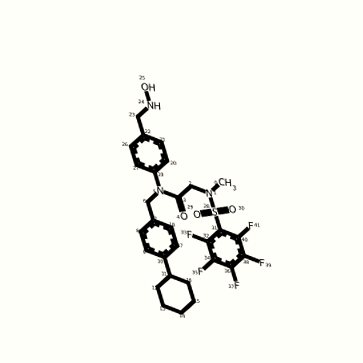 CN(CC(=O)N(Cc1ccc(C2CCCCC2)cc1)c1ccc(CNO)cc1)S(=O)(=O)c1c(F)c(F)c(F)c(F)c1F